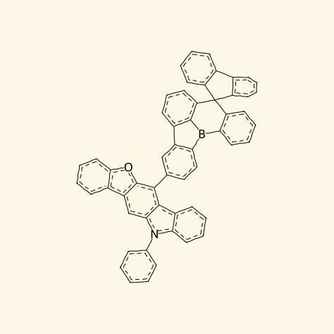 c1ccc(-n2c3ccccc3c3c(-c4ccc5c(c4)-c4cccc6c4B5c4ccccc4C64c5ccccc5-c5ccccc54)c4oc5ccccc5c4cc32)cc1